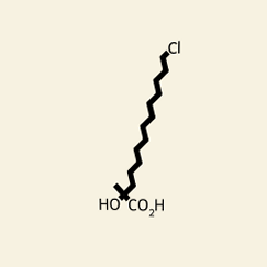 CC(O)(CCCCCCCCCCCCCl)C(=O)O